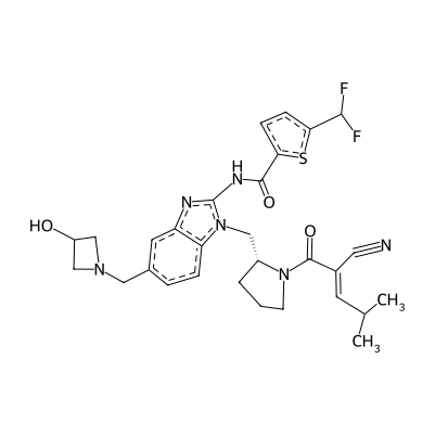 CC(C)/C=C(\C#N)C(=O)N1CCC[C@@H]1Cn1c(NC(=O)c2ccc(C(F)F)s2)nc2cc(CN3CC(O)C3)ccc21